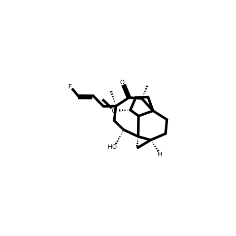 CO[C@@H]1CCC23CC[C@H]4C[C@@]4(C12)[C@H](O)C[C@@](C)(CC=CF)C(=O)[C@@H]3C